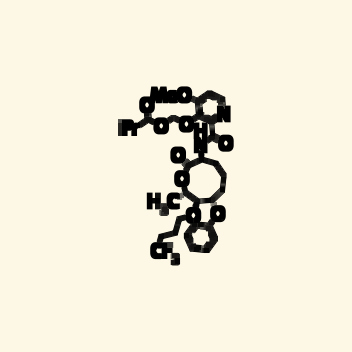 COc1ccnc(C(=O)N[C@H]2CCC[C@H](Oc3ccccc3)[C@@H](OCCCC(F)(F)F)[C@H](C)OC2=O)c1OCOC(=O)C(C)C